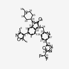 Cc1noc(C)c1-c1ccc2c(c1)n(C1CCN(C)CC1)c(=O)n2Cc1ccc(-c2nnc(C(F)F)o2)cn1